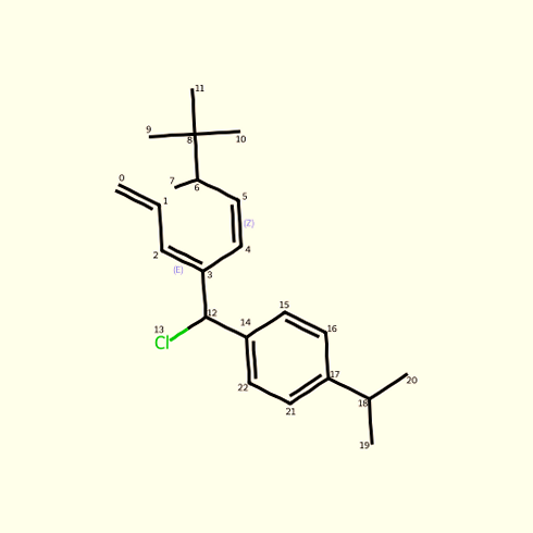 C=C/C=C(\C=C/C(C)C(C)(C)C)C(Cl)c1ccc(C(C)C)cc1